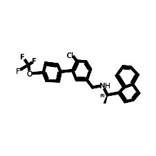 C[C@@H](NCc1ccc(Cl)c(-c2ccc(OC(F)(F)F)cc2)c1)c1cccc2ccccc12